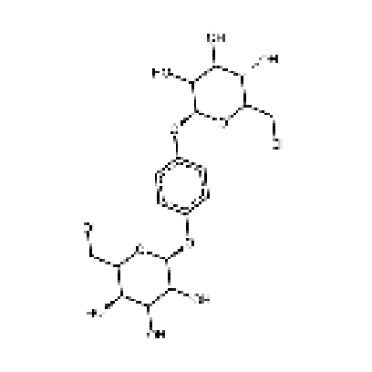 OCC1O[C@@H](Oc2ccc(O[C@@H]3OC(CO)[C@H](O)C(O)C3O)cc2)C(O)C(O)[C@@H]1O